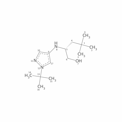 CC(C)(C)C[C@H](CO)Nc1cnn(C(C)(C)C)c1